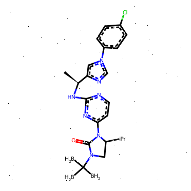 BC(B)(B)N1CC(C(C)C)N(c2ccnc(N[C@@H](C)c3cn(-c4ccc(Cl)cc4)cn3)n2)C1=O